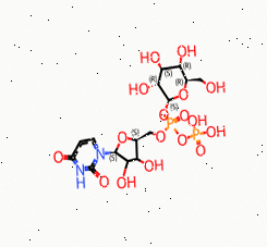 O=c1ccn([C@H]2O[C@@H](COP(=O)(O[C@@H]3O[C@H](CO)[C@H](O)[C@H](O)[C@H]3O)OP(=O)(O)O)C(O)C2O)c(=O)[nH]1